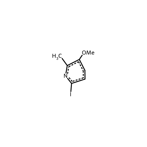 COc1ccc(I)nc1C